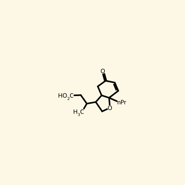 CCCC12C=CC(=O)CC1C(C(C)CC(=O)O)CO2